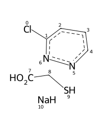 Clc1cccnn1.O=C(O)CS.[NaH]